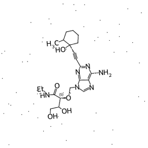 CCNC(=O)[C@@H](OCn1cnc2c(N)nc(C#CC3(O)CCCCC3C)nc21)C(O)CO